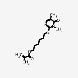 C=C(C)C(=O)OCCCCCCSc1ncc(C)c(=O)n1C